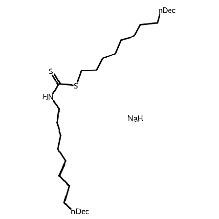 CCCCCCCCCCCCCCCCCCNC(=S)SCCCCCCCCCCCCCCCCCC.[NaH]